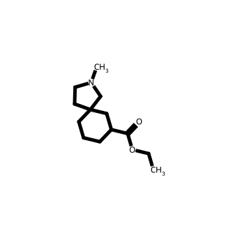 CCOC(=O)C1CCCC2(CCN(C)C2)C1